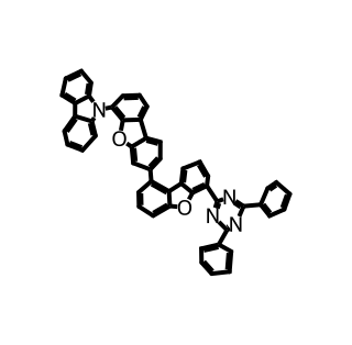 c1ccc(-c2nc(-c3ccccc3)nc(-c3cccc4c3oc3cccc(-c5ccc6c(c5)oc5c(-n7c8ccccc8c8ccccc87)cccc56)c34)n2)cc1